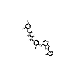 Cn1ccnc1-c1cc2nccc(Oc3ccc(NC(=S)NC(=O)Cc4ccc(F)cc4F)cc3F)c2s1